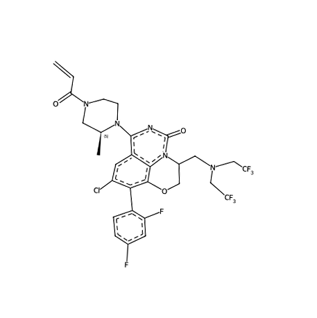 C=CC(=O)N1CCN(c2nc(=O)n3c4c(c(-c5ccc(F)cc5F)c(Cl)cc24)OCC3CN(CC(F)(F)F)CC(F)(F)F)[C@@H](C)C1